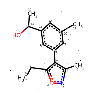 CCc1onc(C)c1-c1cc(C)cc(C(C)O)c1